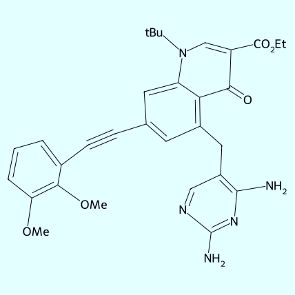 CCOC(=O)c1cn(C(C)(C)C)c2cc(C#Cc3cccc(OC)c3OC)cc(Cc3cnc(N)nc3N)c2c1=O